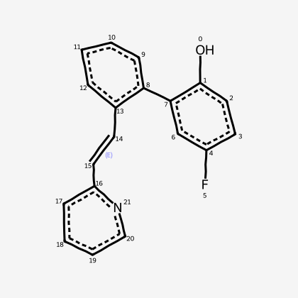 Oc1ccc(F)cc1-c1ccccc1/C=C/c1ccccn1